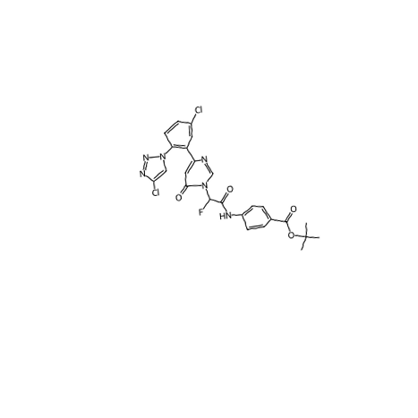 CC(C)(C)OC(=O)c1ccc(NC(=O)C(F)n2cnc(-c3cc(Cl)ccc3-n3cc(Cl)nn3)cc2=O)cc1